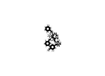 [2H]C1(OCc2ccccc2)C(Cn2cnnc2-c2ccc(I)cc2)=NC=NC1OCc1ccccc1